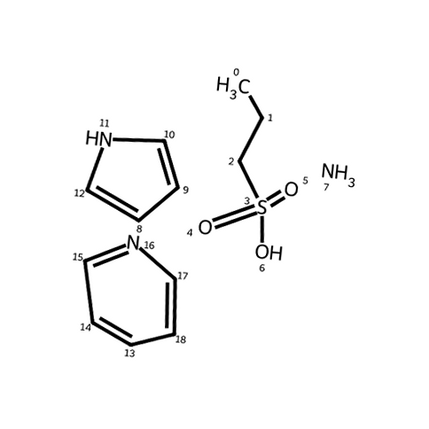 CCCS(=O)(=O)O.N.c1cc[nH]c1.c1ccncc1